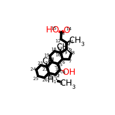 CC[C@H]1[C@@H](O)C2C3CC[C@H]([C@H](C)CC(=O)O)[C@@]3(C)CCC2[C@@]2(C)CCCC[C@@H]12